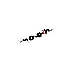 CCCCC[C@H]1CC[C@H](CCc2ccc(C3OCC(CCC)CO3)cc2)CC1